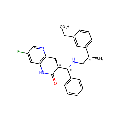 C[C@@H](CN[C@H](c1ccccc1)[C@@H]1Cc2ncc(F)cc2NC1=O)c1cccc(CC(=O)O)c1